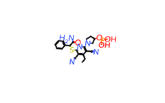 CCc1c(C#N)c(SC(C(N)=O)c2ccccc2)nc(N2CCC(OP(O)O)C2)c1C#N